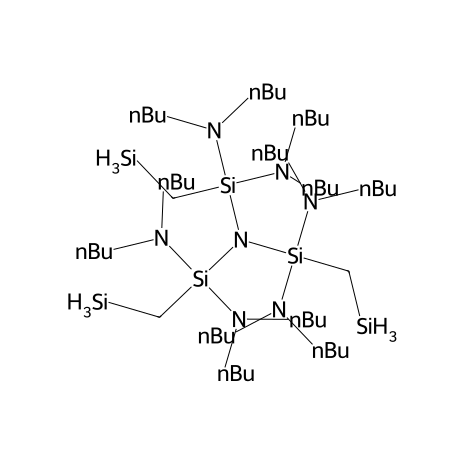 CCCCN(CCCC)[Si](C[SiH3])(N(CCCC)CCCC)N([Si](C[SiH3])(N(CCCC)CCCC)N(CCCC)CCCC)[Si](C[SiH3])(N(CCCC)CCCC)N(CCCC)CCCC